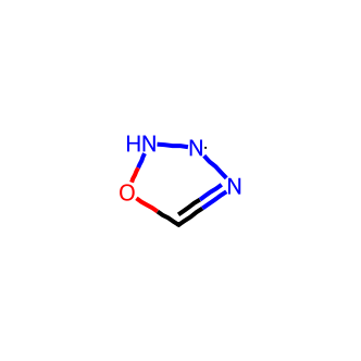 C1=N[N]NO1